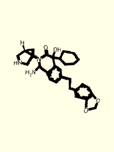 NC1c2ccc(CCc3ccc4c(c3)OCO4)cc2C(O)(C2CCCCC2)C(=O)N1C12CNC[C@@H]1C2